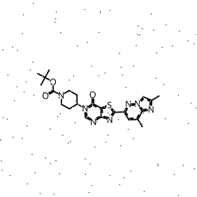 Cc1cn2nc(-c3nc4ncn(C5CCN(C(=O)OC(C)(C)C)CC5)c(=O)c4s3)cc(C)c2n1